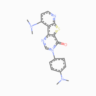 CN(C)c1ccc(-n2cnc3c(sc4nccc(N(C)C)c43)c2=O)cc1